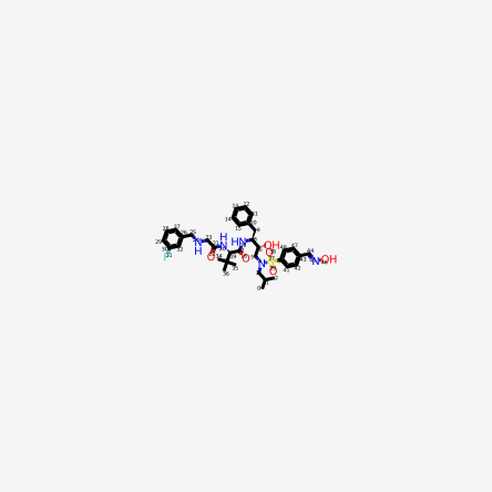 CC(C)CN(C[C@@H](O)[C@H](Cc1ccccc1)NC(=O)[C@@H](NC(=O)CNCc1cccc(F)c1)C(C)(C)C)S(=O)(=O)c1ccc(C=NO)cc1